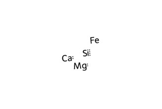 [Ca].[Fe].[Mg].[Si]